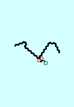 CCCCC/C=C\C/C=C\CCCCCCCCC1(CCCCCCCC/C=C\C/C=C\CCCCC)OC[C@H](CCl)O1